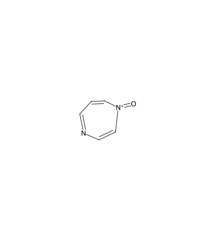 O=[n+]1cccncc1